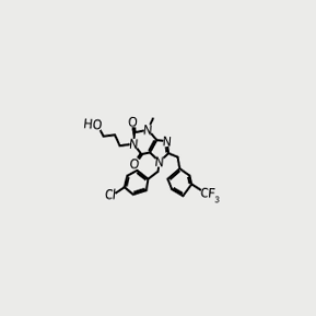 Cn1c(=O)n(CCCO)c(=O)c2c1nc(Cc1cccc(C(F)(F)F)c1)n2Cc1ccc(Cl)cc1